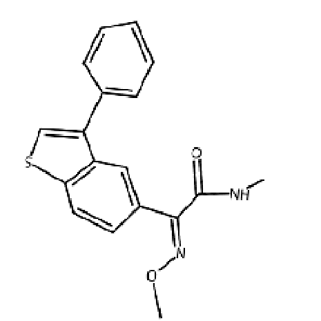 CNC(=O)/C(=N/OC)c1ccc2scc(-c3ccccc3)c2c1